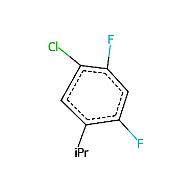 CC(C)c1cc(Cl)c(F)cc1F